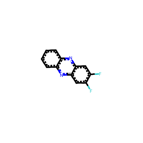 Fc1cc2nc3ccccc3nc2cc1F